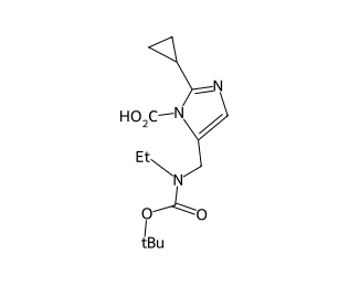 CCN(Cc1cnc(C2CC2)n1C(=O)O)C(=O)OC(C)(C)C